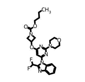 CCCCOC(=O)N1CC(Oc2cc(-n3c(C(F)F)nc4ccccc43)nc(N3CCOCC3)n2)C1